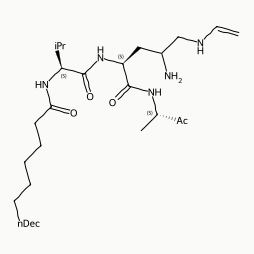 C=CNCC(N)C[C@H](NC(=O)[C@@H](NC(=O)CCCCCCCCCCCCCCC)C(C)C)C(=O)N[C@@H](C)C(C)=O